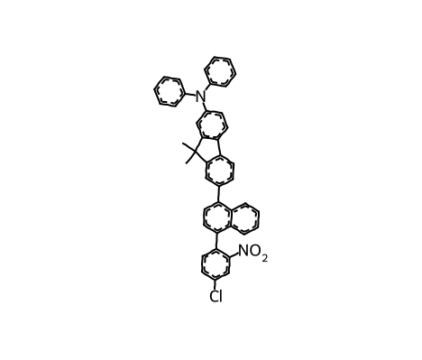 CC1(C)c2cc(-c3ccc(-c4ccc(Cl)cc4[N+](=O)[O-])c4ccccc34)ccc2-c2ccc(N(c3ccccc3)c3ccccc3)cc21